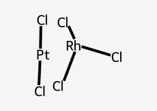 [Cl][Pt][Cl].[Cl][Rh]([Cl])[Cl]